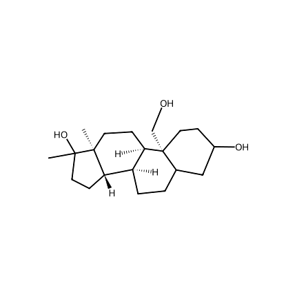 CC1(O)CC[C@H]2[C@@H]3CCC4CC(O)CC[C@]4(CO)[C@@H]3CC[C@@]21C